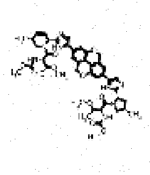 COC(=O)N[C@H](C(=O)N1C[C@@H](C)C=C[C@H]1c1ncc(-c2cc3c4c(c2)OCc2cc(-c5cnc([C@@H]6C[C@H](C)CN6C(=O)[C@@H](NC(=O)OC)[C@@H](C)OC)[nH]5)cc(c2-4)OC3)[nH]1)[C@@H](C)OC